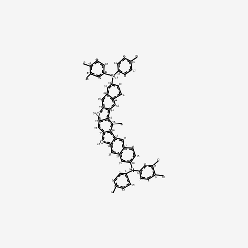 Cc1ccc(N(c2ccc(C)c(C)c2)c2ccc3cc4c(cc3c2)oc2cc3oc5cc6cc(N(c7ccc(C)cc7)c7ccc(C)c(C)c7)ccc6cc5c3c(C)c24)cc1